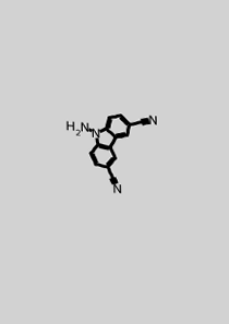 N#Cc1ccc2c(c1)c1cc(C#N)ccc1n2N